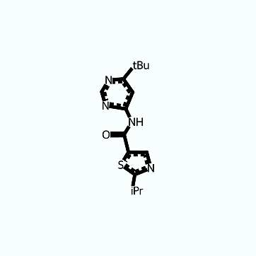 CC(C)c1ncc(C(=O)Nc2cc(C(C)(C)C)ncn2)s1